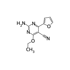 CCOc1nc(N)nc(-c2ccco2)c1C#N